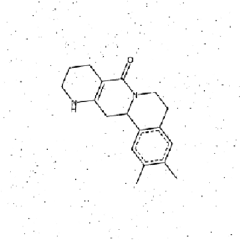 Cc1cc2c(cc1C)C1CC3=C(CCCN3)C(=O)N1CC2